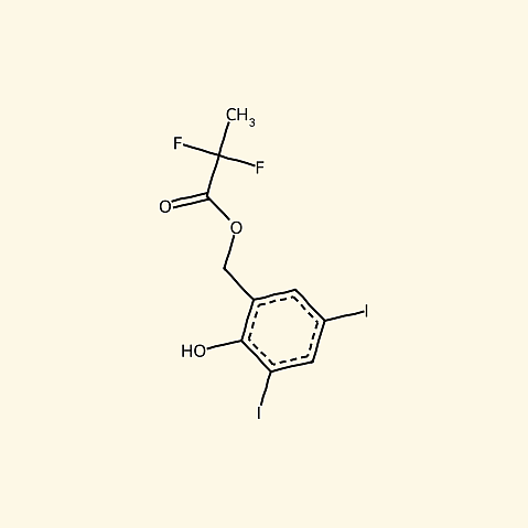 CC(F)(F)C(=O)OCc1cc(I)cc(I)c1O